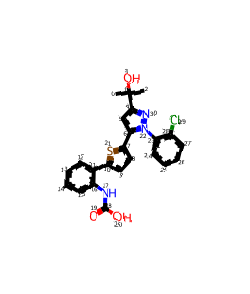 CC(C)(O)c1cc(-c2ccc(-c3ccccc3NC(=O)O)s2)n(-c2ccccc2Cl)n1